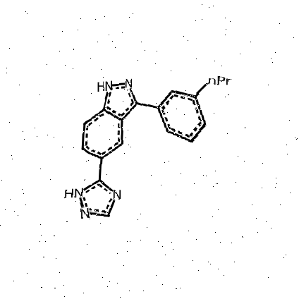 CCCc1cccc(-c2n[nH]c3ccc(-c4ncn[nH]4)cc23)c1